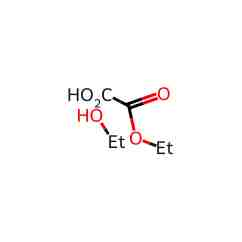 CCO.CCOC(=O)C(=O)O